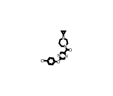 O=C(c1cnc(Oc2ccc(Cl)cc2)cn1)N1CCCN(C2CC2)CC1